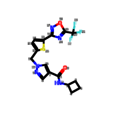 O=C(NC1CCC1)c1cnn(Cc2ccc(-c3noc(C(F)(F)F)n3)s2)c1